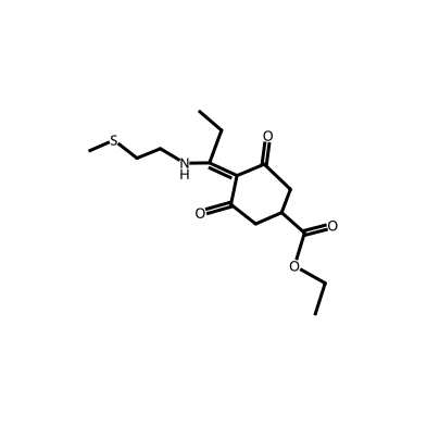 CCOC(=O)C1CC(=O)C(=C(CC)NCCSC)C(=O)C1